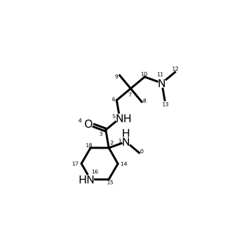 CNC1(C(=O)NCC(C)(C)CN(C)C)CCNCC1